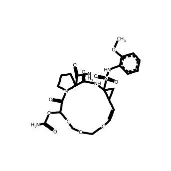 COc1ccccc1NS(=O)(=O)C12CC1C=CCCCCCC(OC(N)=O)C(=O)N1CCCC1(C(N)=O)C(=O)N2